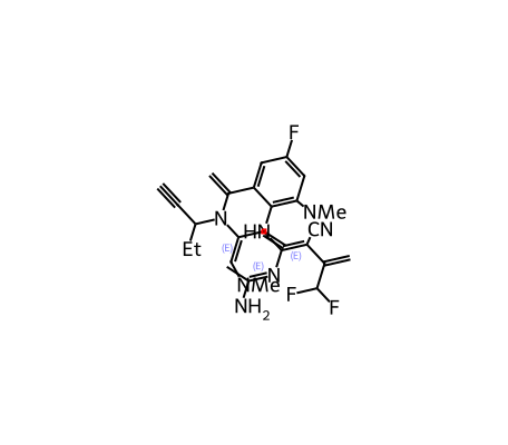 C#CC(CC)N(C(=C)c1cc(F)cc(NC)c1NC(/N=C(\C)N)=C(\C#N)C(=C)C(F)F)/C(C=C)=C/NC